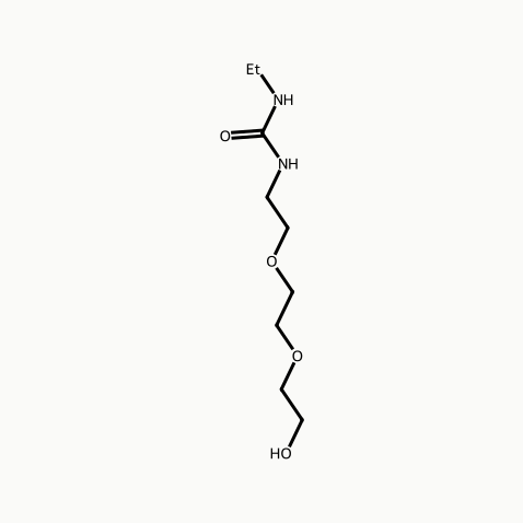 [CH2]CNC(=O)NCCOCCOCCO